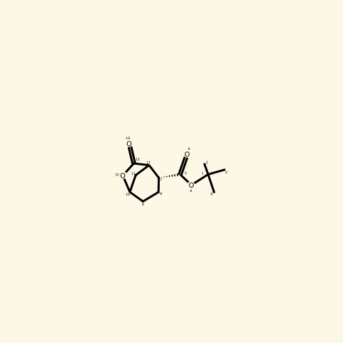 CC(C)(C)OC(=O)[C@@H]1CCC2CC1C(=O)O2